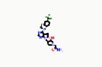 CCN(C[C@H]1CC[C@H](C(F)(F)F)CC1)c1ncnc2c1ccn2CC1CCN(CC(N)=O)C[C@@H]1O